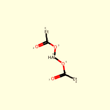 CCC(=O)[O][AlH][O]C(=O)CC